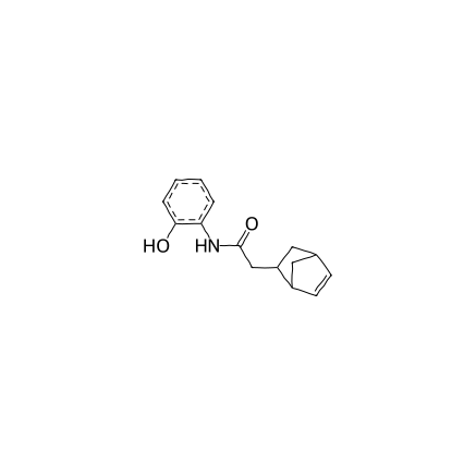 O=C(CC1CC2C=CC1C2)Nc1ccccc1O